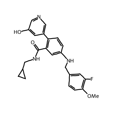 COc1ccc(CNc2ccc(-c3cncc(O)c3)c(C(=O)NCC3CC3)c2)cc1F